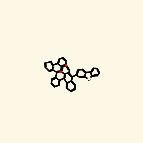 c1ccc(-c2cc3ccccc3c3ccccc23)c(-c2c3ccccc3c(-c3ccc4c(c3)oc3ccccc34)c3ccccc23)c1